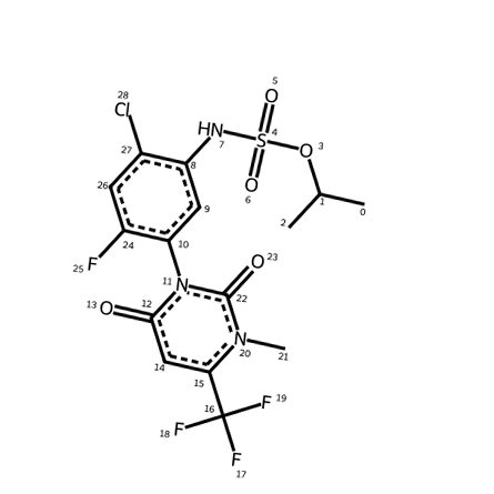 CC(C)OS(=O)(=O)Nc1cc(-n2c(=O)cc(C(F)(F)F)n(C)c2=O)c(F)cc1Cl